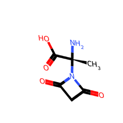 C[C@](N)(C(=O)O)N1C(=O)CC1=O